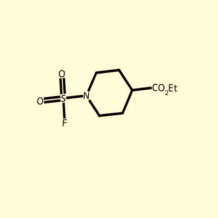 CCOC(=O)C1CCN(S(=O)(=O)F)CC1